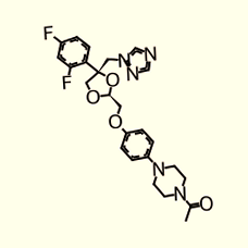 CC(=O)N1CCN(c2ccc(OC[C@H]3OC[C@](Cn4cncn4)(c4ccc(F)cc4F)O3)cc2)CC1